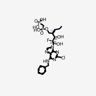 CC/C=C(/COP(=O)(O)CP(=O)(O)O)[C@@H](O)[C@H](F)[C@@H](O)n1cnc2c(NCc3ccccc3)nc(Cl)nc21